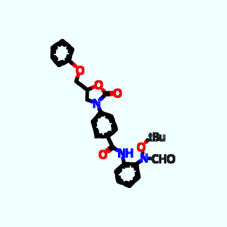 CC(C)(C)ON(C=O)c1ccccc1NC(=O)c1ccc(N2CC(COc3ccccc3)OC2=O)cc1